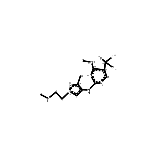 CNCCn1cc(Nc2ncc(C(F)(F)F)c(NC)n2)c(C)n1